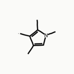 [CH2]c1c(C)cn(C)c1C